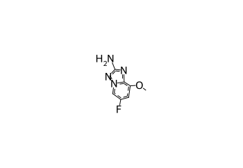 COc1cc(F)cn2nc(N)nc12